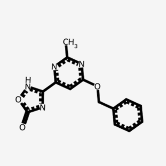 Cc1nc(OCc2ccccc2)cc(-c2nc(=O)o[nH]2)n1